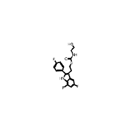 O=C(NCCO)OCCc1c(-c2ccc(F)cc2)[nH]c2c(F)cc(F)cc12